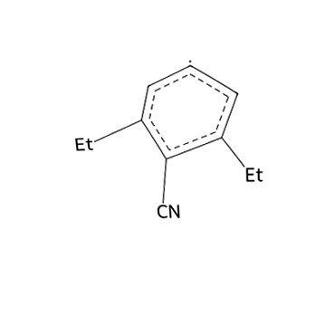 CCc1c[c]cc(CC)c1C#N